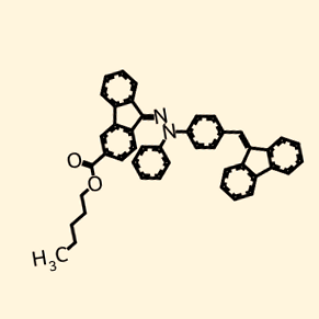 CCCCCOC(=O)c1ccc2c(c1)-c1ccccc1/C2=N/N(c1ccccc1)c1ccc(C=C2c3ccccc3-c3ccccc32)cc1